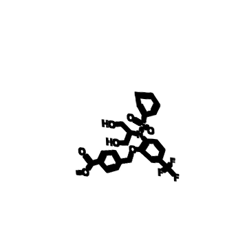 COC(=O)c1ccc(COc2cc(C(F)(F)F)ccc2N(C(CO)CO)S(=O)(=O)c2ccccc2)cc1